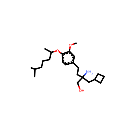 COc1cc(CCC(N)(CO)CC2CCC2)ccc1OC(C)CCCC(C)C